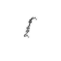 CCCCCc1ccc([C@H]2CC[C@H](C=CC#Cc3ccc(OCCC)cc3)CC2)cc1